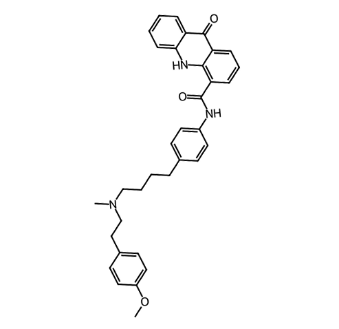 COc1ccc(CCN(C)CCCCc2ccc(NC(=O)c3cccc4c(=O)c5ccccc5[nH]c34)cc2)cc1